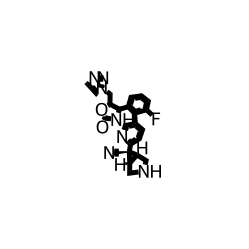 N#C[C@@]1(c2ccc(-c3c(F)cccc3C3NC(=O)OC3Cn3ccnn3)cn2)[C@@H]2CNC[C@@H]21